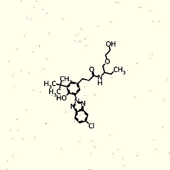 CCC(COCCO)NC(=O)CCc1cc(-n2nc3ccc(Cl)cc3n2)c(O)c(C(C)(C)C)c1